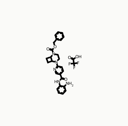 Nc1ccccc1NC(=O)c1ccc(N2CCN(C(=O)OCc3ccccc3)C3CCC32)nc1.O=C(O)C(F)(F)F